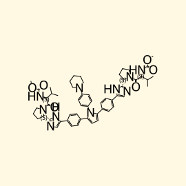 COC(=O)N[C@H](C(=O)N1CCC[C@H]1c1ncc(-c2ccc(-c3ccc(-c4ccc(-c5cnc([C@@H]6CCCN6C(=O)[C@@H](NC(=O)OC)C(C)C)[nH]5)cc4)n3-c3ccc(N4CCCCC4)cc3)cc2)[nH]1)C(C)C